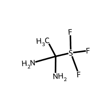 CC(N)(N)S(F)(F)F